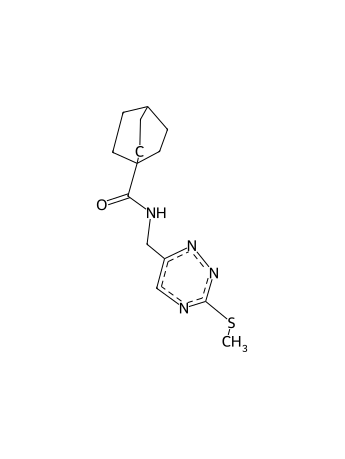 CSc1ncc(CNC(=O)C23CCC(CC2)CC3)nn1